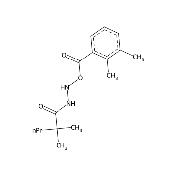 CCCC(C)(C)C(=O)NNOC(=O)c1cccc(C)c1C